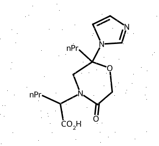 CCCC(C(=O)O)N1CC(CCC)(n2ccnc2)OCC1=O